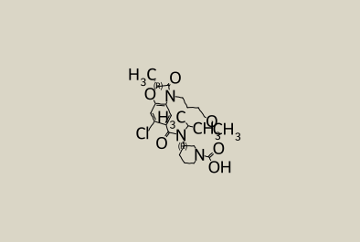 COCCCCN1C(=O)[C@@H](C)Oc2cc(Cl)c(C(=O)N(C(C)C)[C@@H]3CCCN(C(=O)O)C3)cc21